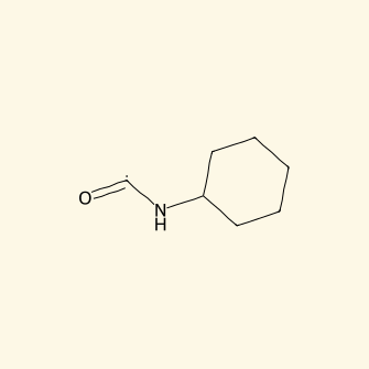 O=[C]NC1CCCCC1